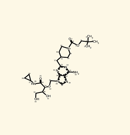 CC(C)(C)COC(=O)N1CCC(Cc2nc(N)c3ncn(CO[C@H](C(=O)NC4CC4)C(O)CO)c3n2)CC1